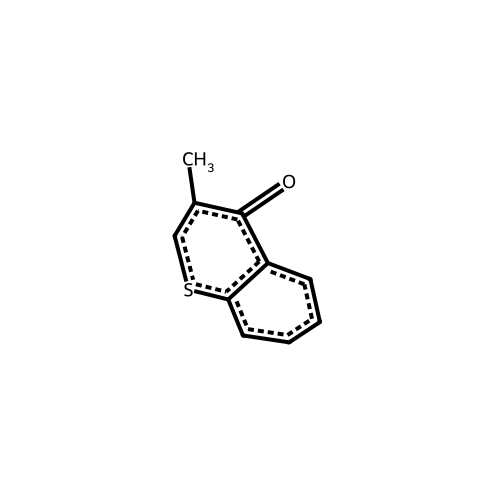 Cc1csc2ccccc2c1=O